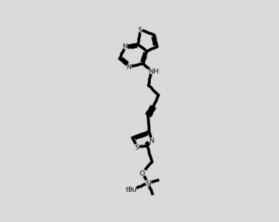 CC(C)(C)[Si](C)(C)OCc1nc(C#CCCNc2ncnc3sccc23)cs1